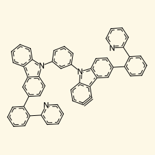 c1ccc2c(c#1)c1cc(-c3ccccc3-c3ccccn3)ccc1n2-c1cccc(-n2c3ccccc3c3cc(-c4ccccc4-c4ccccn4)ccc32)c1